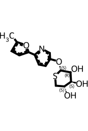 Cc1ccc(-c2ccc(O[C@H]3SC[C@@H](O)[C@H](O)[C@H]3O)cn2)o1